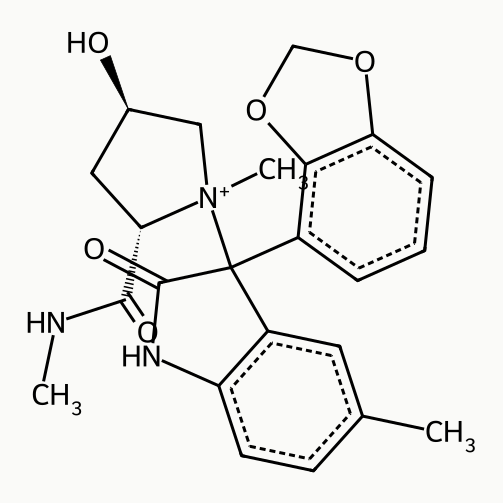 CNC(=O)[C@@H]1C[C@@H](O)C[N+]1(C)C1(c2cccc3c2OCO3)C(=O)Nc2ccc(C)cc21